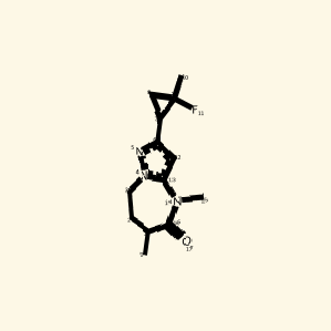 CC1CCn2nc(C3CC3(C)F)cc2N(C)C1=O